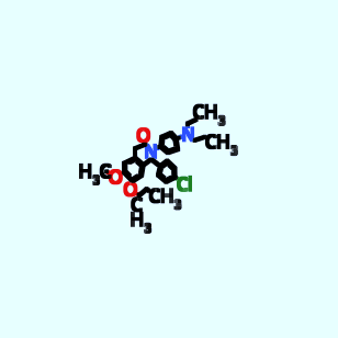 CCCN(CCC)c1ccc(N2C(=O)Cc3cc(OC)c(OC(C)CC)cc3C2c2ccc(Cl)cc2)cc1